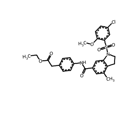 CCOC(=O)Cc1ccc(NC(=O)c2cc(C)c3c(c2)N(S(=O)(=O)c2cc(Cl)ccc2OC)CC3)cc1